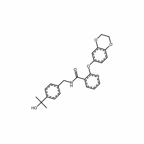 CC(C)(O)c1ccc(CNC(=O)c2cccnc2Oc2ccc3c(c2)OCCO3)cc1